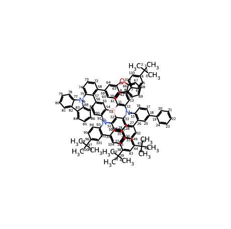 CC(C)(C)c1ccc(-c2ccc3c(c2)N(c2ccc(-c4ccccc4)cc2-c2ccccc2)c2cc(-c4cc(C(C)(C)C)cc(C(C)(C)C)c4)cc4c2B3c2cc(-c3c(-c5ccc6c(c5)oc5ccccc56)cccc3-n3c5ccccc5c5ccccc53)ccc2N4c2ccc(C(C)(C)C)cc2-c2ccccc2)cc1